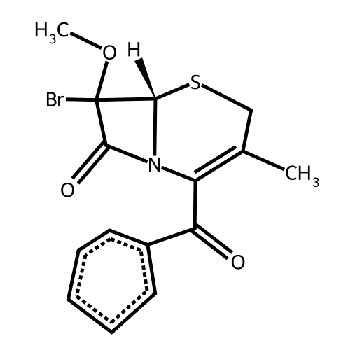 COC1(Br)C(=O)N2C(C(=O)c3ccccc3)=C(C)CS[C@H]21